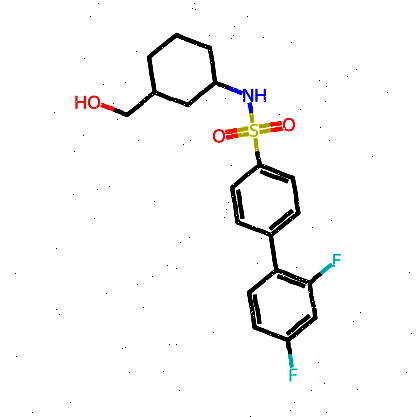 O=S(=O)(NC1CCCC(CO)C1)c1ccc(-c2ccc(F)cc2F)cc1